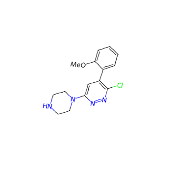 COc1ccccc1-c1cc(N2CCNCC2)nnc1Cl